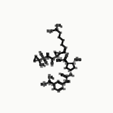 CN(C)CCCC/C=C\[C@@H]1C[C@]1(NC(=O)[C@@H]1C[C@@H](OC(=O)Nc2cccc(N(C)C)c2)C[C@H]1C=O)C(=O)NS(=O)(=O)C1(C)CC1